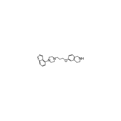 c1cc(N2CCN(CCCOc3ccc4c(c3)CCNC4)CC2)c2ccsc2c1